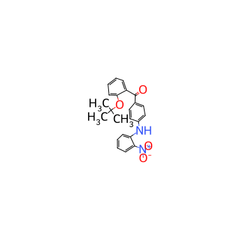 CC(C)(C)Oc1ccccc1C(=O)c1ccc(Nc2ccccc2[N+](=O)[O-])cc1